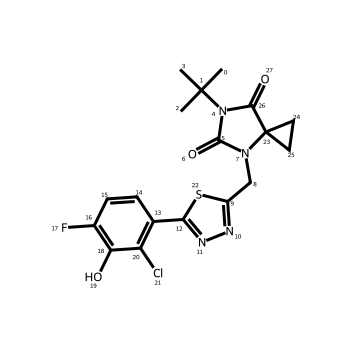 CC(C)(C)N1C(=O)N(Cc2nnc(-c3ccc(F)c(O)c3Cl)s2)C2(CC2)C1=O